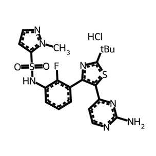 Cl.Cn1nccc1S(=O)(=O)Nc1cccc(-c2nc(C(C)(C)C)sc2-c2ccnc(N)n2)c1F